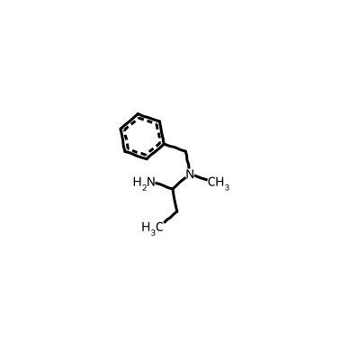 CCC(N)N(C)Cc1ccccc1